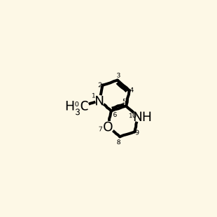 CN1CC=CC2=C1OCCN2